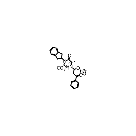 CCCOC(CC(=C=O)c1ccccc1)N[C@@H](C)C(=O)N(CC(=O)O)C1Cc2ccccc2C1